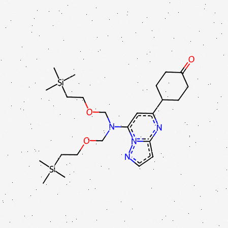 C[Si](C)(C)CCOCN(COCC[Si](C)(C)C)c1cc(C2CCC(=O)CC2)nc2ccnn12